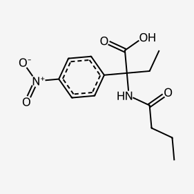 CCCC(=O)NC(CC)(C(=O)O)c1ccc([N+](=O)[O-])cc1